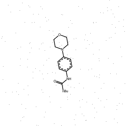 CCCCC(=O)Nc1ccc(N2CCOCC2)cc1